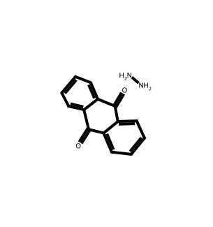 NN.O=C1c2ccccc2C(=O)c2ccccc21